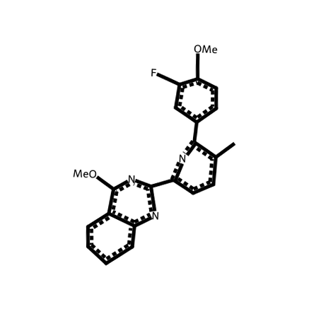 COc1ccc(-c2nc(-c3nc(OC)c4ccccc4n3)ccc2C)cc1F